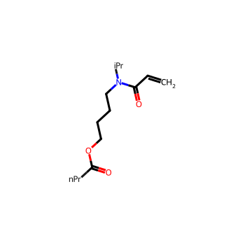 C=CC(=O)N(CCCCOC(=O)CCC)C(C)C